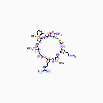 CC(C)(C)SC[C@@H]1NC(=O)[C@H](CCCCN)NC(=O)CSC[C@@H](C(N)=O)NC(=O)[C@H](Cc2ccccc2)NC(=O)[C@H](CSC(C)(C)C)NC(=O)[C@H](CC(=O)O)NC(=O)CNC(=O)[C@H](CCCNC(=N)N)NC1=O